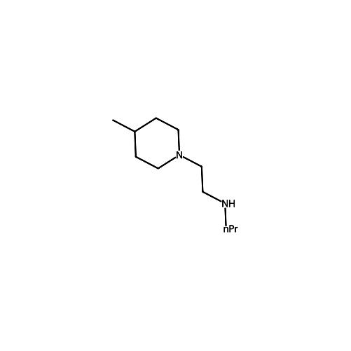 CCCNCCN1CCC(C)CC1